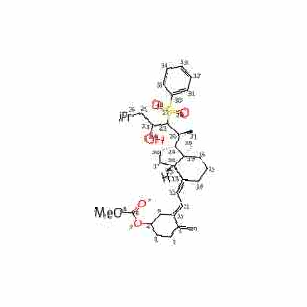 C=C1CCC(OC(=O)OC)CC1=CC=C1CCC[C@]2(C)[C@@H]([C@H](C)C(C(O)CC(C)C)S(=O)(=O)c3ccccc3)CC[C@@H]12